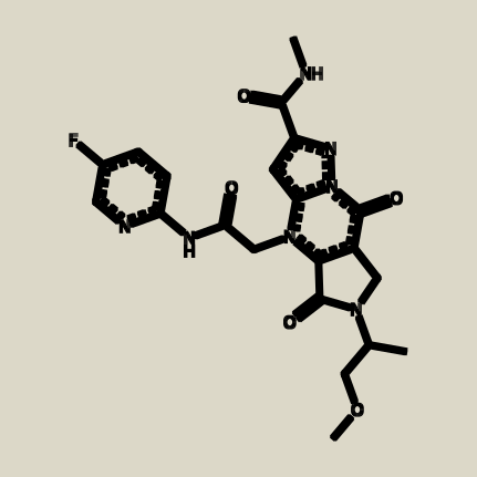 CNC(=O)c1cc2n(CC(=O)Nc3ccc(F)cn3)c3c(c(=O)n2n1)CN(C(C)COC)C3=O